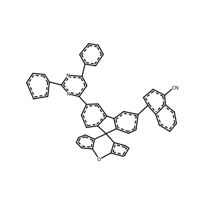 N#Cc1ccc(-c2ccc3c(c2)-c2cc(-c4cc(-c5ccccc5)nc(-c5ccccc5)n4)ccc2C32c3ccccc3Oc3ccccc32)c2ccccc12